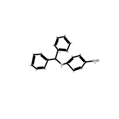 O=Cc1ccc(OC(c2ccccc2)c2ccccc2)cc1